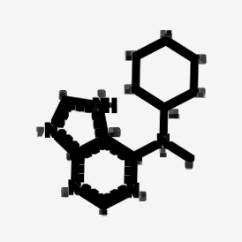 CN(c1ncnc2nc[nH]c12)C1CCCCC1